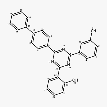 N#Cc1cccc(-c2nc(-c3ccc(-c4ccccc4)cc3)nc(-c3ccccc3O)n2)c1